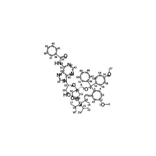 COc1ccc(C(OC[C@@](CO)(CO[Si](C(C)C)(C(C)C)C(C)C)OC(CO)n2cnc3c(NC(=O)c4ccccc4)ncnc32)(c2ccccc2)c2ccc(OC)cc2)cc1